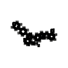 Nc1ncnc2c1c(-c1ccc3[nH]c(Cc4ccccc4Cl)cc3c1)nn2[C@H]1CC[C@H](N2CCOCC2)CC1